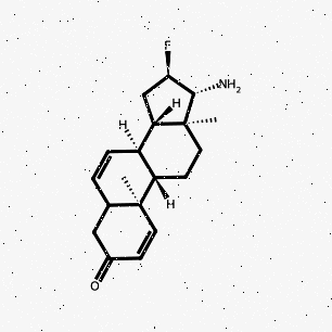 C[C@]12CC[C@H]3[C@@H](C=CC4CC(=O)C=C[C@@]43C)[C@@H]1C[C@@H](F)[C@@H]2N